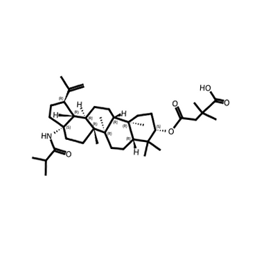 C=C(C)[C@@H]1CC[C@]2(NC(=O)C(C)C)CC[C@]3(C)[C@H](CC[C@@H]4[C@@]5(C)CC[C@H](OC(=O)CC(C)(C)C(=O)O)C(C)(C)[C@@H]5CC[C@]43C)[C@@H]12